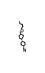 CC/C=C\COCC1CCC([C@H]2CC[C@H](C#N)CC2)CC1